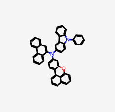 c1ccc(-n2c3ccccc3c3cc(N(c4ccc5c(c4)Oc4cccc6cccc-5c46)c4cc5ccccc5c5ccccc45)ccc32)cc1